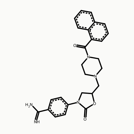 N=C(N)c1ccc(N2CC(CN3CCN(C(=O)c4cccc5ccccc45)CC3)OC2=O)cc1